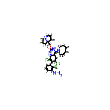 Nc1cccc(-c2c(Cl)cc3c(N4CCCCCC4)nc(OCC45CCCN4CCC5)nc3c2F)c1F